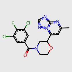 Cc1cc(C2CN(C(=O)c3cc(Cl)c(F)c(Cl)c3)CCO2)n2ncnc2n1